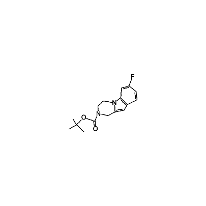 CC(C)(C)OC(=O)N1CCn2c(cc3ccc(F)cc32)C1